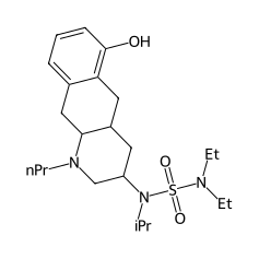 CCCN1CC(N(C(C)C)S(=O)(=O)N(CC)CC)CC2Cc3c(O)cccc3CC21